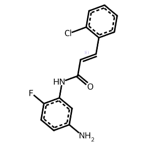 Nc1ccc(F)c(NC(=O)/C=C/c2ccccc2Cl)c1